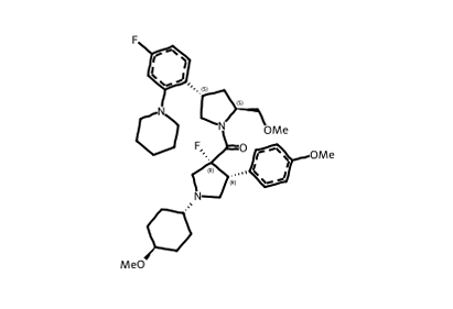 COC[C@@H]1C[C@@H](c2ccc(F)cc2N2CCCCC2)CN1C(=O)[C@]1(F)CN([C@H]2CC[C@H](OC)CC2)C[C@H]1c1ccc(OC)cc1